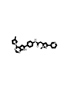 Cc1ccn(-c2ncnc3[nH]c(-c4ccc(NC(=O)Cc5cc(-c6cccnc6)nn5C)cc4)cc23)c1